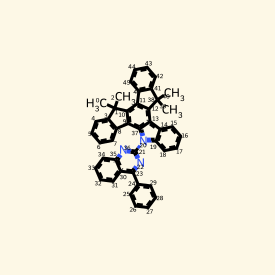 CC1(C)c2ccccc2-c2c1c1c(c3c4ccccc4n(-c4nc(-c5ccccc5)c5ccccc5n4)c23)C(C)(C)c2ccccc2-1